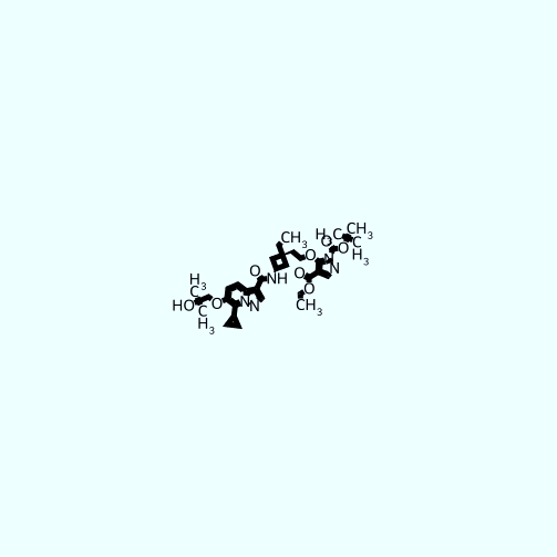 CCOC(=O)c1cnn(C(=O)OC(C)(C)C)c1OCC[C@]1(CC)C[C@@H](NC(=O)c2cnn3c(C4CC4)c(OCC(C)(C)O)ccc23)C1